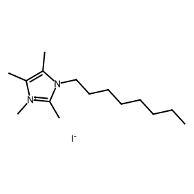 CCCCCCCCn1c(C)c(C)[n+](C)c1C.[I-]